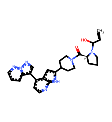 C=CC(O)N1CCC[C@H]1C(=O)N1CCC(c2cc3c(-c4cnn5ncccc45)ccnc3[nH]2)CC1